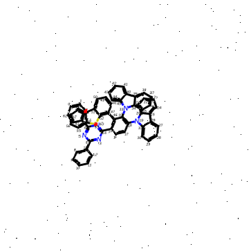 c1ccc(-c2nc(-c3ccccc3)nc(-c3ccc(-n4c5ccccc5c5ccccc54)c(-n4c5ccccc5c5ccccc54)c3-c3cccc4c3sc3ccccc34)n2)cc1